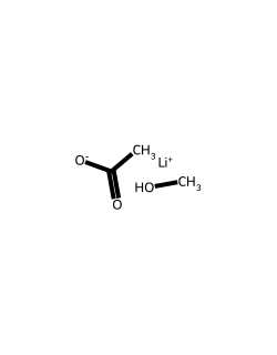 CC(=O)[O-].CO.[Li+]